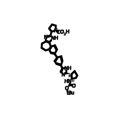 CC(C)(C)OC(=O)N[C@H]1CCC[C@H]1c1ncc(-c2ccc(-c3ccc4c(c3)CCCc3nc(C5CCCN5C(=O)O)[nH]c3-4)cc2)[nH]1